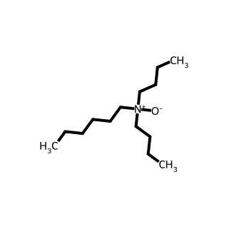 CCCCCC[N+]([O-])(CCCC)CCCC